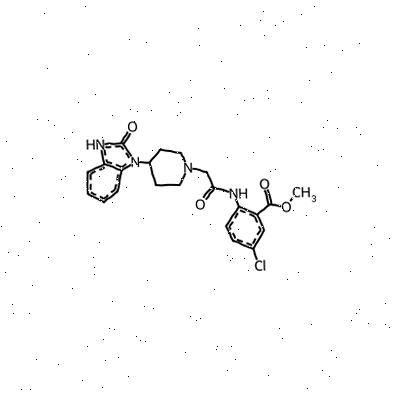 COC(=O)c1cc(Cl)ccc1NC(=O)CN1CCC(n2c(=O)[nH]c3ccccc32)CC1